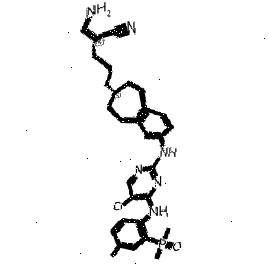 Cc1ccc(Nc2nc(Nc3ccc4c(c3)CC[C@@H](CCC[C@H](C#N)CN)CC4)ncc2Cl)c(P(C)(C)=O)c1